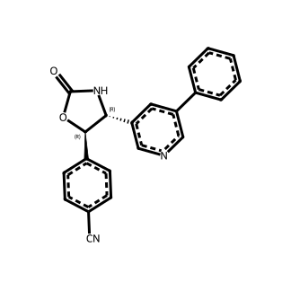 N#Cc1ccc([C@H]2OC(=O)N[C@@H]2c2cncc(-c3ccccc3)c2)cc1